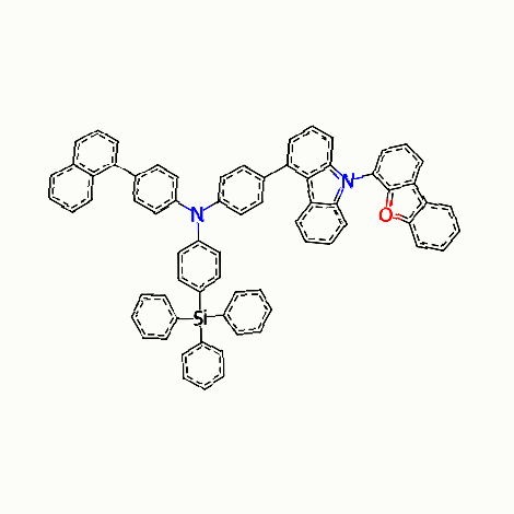 c1ccc([Si](c2ccccc2)(c2ccccc2)c2ccc(N(c3ccc(-c4cccc5ccccc45)cc3)c3ccc(-c4cccc5c4c4ccccc4n5-c4cccc5c4oc4ccccc45)cc3)cc2)cc1